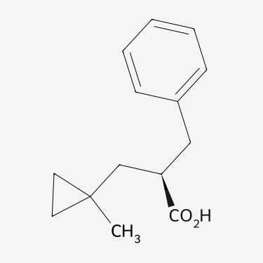 CC1(C[C@@H](Cc2ccccc2)C(=O)O)CC1